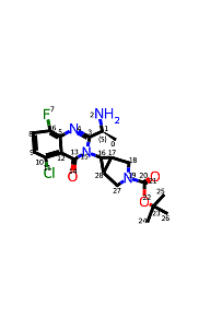 C[C@H](N)c1nc2c(F)ccc(Cl)c2c(=O)n1C1C2CN(C(=O)OC(C)(C)C)CC21